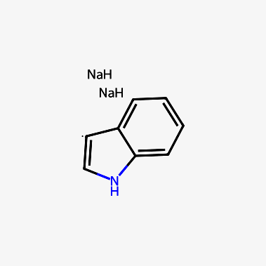 [NaH].[NaH].[c]1c[nH]c2ccccc12